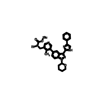 CCN(Cc1cncc(-c2ccc3c(c2)c(-c2nc(-c4ccccc4)c[nH]2)nn3C2CCCCO2)c1C)C(=O)OC(C)(C)C